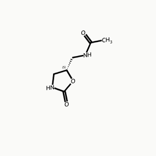 CC(=O)NC[C@H]1CNC(=O)O1